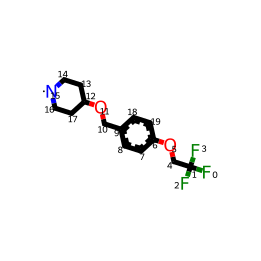 FC(F)(F)COc1ccc(COC2CC[N]CC2)cc1